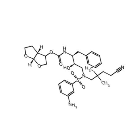 CC(C)(CCC#N)CN(C[C@@H](O)[C@H](Cc1ccccc1)NC(=O)OC1CO[C@@H]2OCC[C@H]12)S(=O)(=O)c1cccc(N)c1